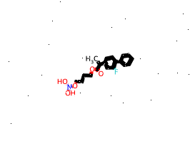 CC(C(=O)OCCCCON(O)O)c1ccc(-c2ccccc2)c(F)c1